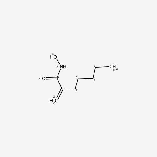 C=C(CCCCC)C(=O)NO